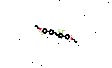 C=CCCOc1ccc(-c2ccc(CCc3ccc(C4=CCC(OCCCC)CC4)c(F)c3F)cc2)cc1F